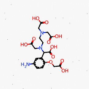 Nc1ccc(OCC(=O)O)c(C(C(=O)O)N(CCN(CC(=O)O)CC(=O)O)CC(=O)O)c1